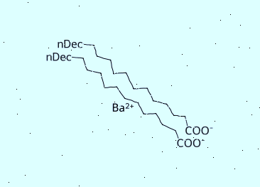 CCCCCCCCCCCCCCCCCCCCCC(=O)[O-].CCCCCCCCCCCCCCCCCCCCCC(=O)[O-].[Ba+2]